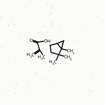 C=C(C)C(=O)O.CC1(C)CCC2CC21C